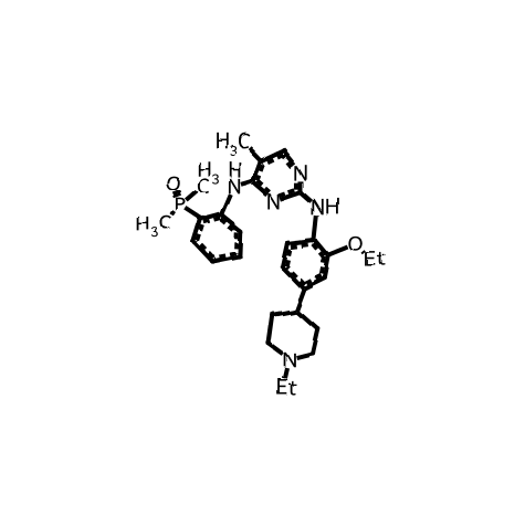 CCOc1cc(C2CCN(CC)CC2)ccc1Nc1ncc(C)c(Nc2ccccc2P(C)(C)=O)n1